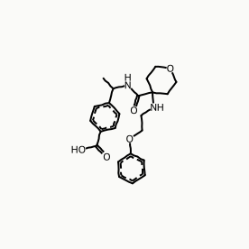 CC(NC(=O)C1(NCCOc2ccccc2)CCOCC1)c1ccc(C(=O)O)cc1